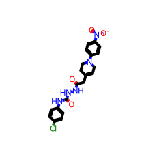 O=C(CC1=CCN(c2ccc([N+](=O)[O-])cc2)CC1)NNC(=O)Nc1ccc(Cl)cc1